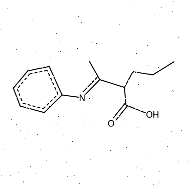 CCCC(C(=O)O)C(C)=Nc1ccccc1